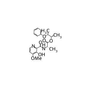 COc1ccnc(C(=O)N[C@@H](C)C(=O)O[C@H](C)[C@H](C)Oc2ccccc2)c1O